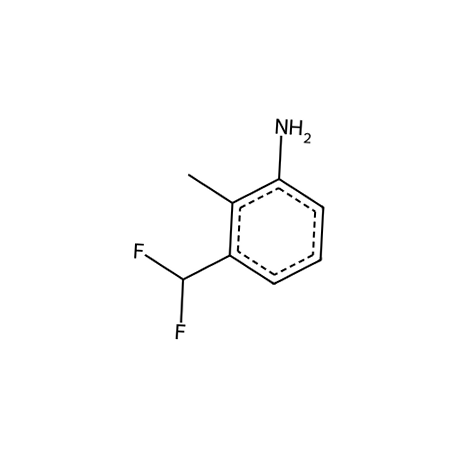 Cc1c(N)cccc1C(F)F